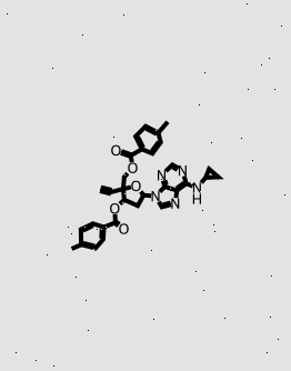 C#CC1(COC(=O)c2ccc(C)cc2)OC(n2cnc3c(NC4CC4)ncnc32)CC1OC(=O)c1ccc(C)cc1